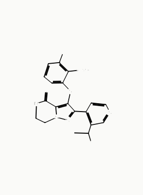 COc1c(Cl)cccc1Nc1c(-c2ccncc2C(F)F)nn2c1C(=O)NCC2